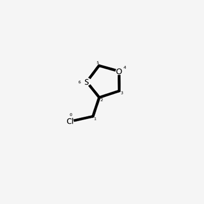 ClCC1CO[CH]S1